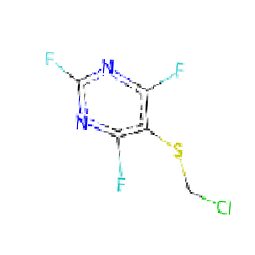 Fc1nc(F)c(SCCl)c(F)n1